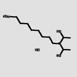 CCCCCCCCCCCCCCCCCCN(C(C)O)C(C)O.Cl